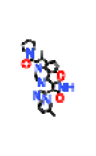 Cc1ccc2ncc(C3=C(C4=NC=CN5c6c4cccc6C(C)C5C(=O)N4CCCCC4)C(=O)NC3=O)n2c1